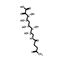 CC(=O)CCC(=O)NC[C@H](O)[C@@H](O)[C@H](O)C[C@H](O)[C@@H](O)C(=O)C(=O)O